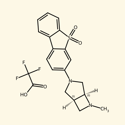 CN1C[C@H]2CN(c3ccc4c(c3)S(=O)(=O)c3ccccc3-4)C[C@H]21.O=C(O)C(F)(F)F